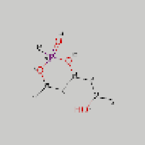 CC(O)CC1CC(C)OP(C)(=O)O1